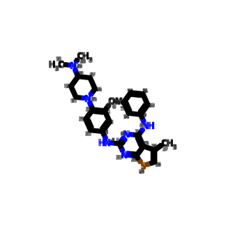 COc1cc(Nc2nc(Nc3ccccc3)c3c(C)csc3n2)ccc1N1CCC(N(C)C)CC1